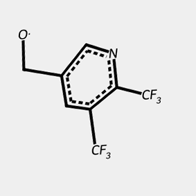 [O]Cc1cnc(C(F)(F)F)c(C(F)(F)F)c1